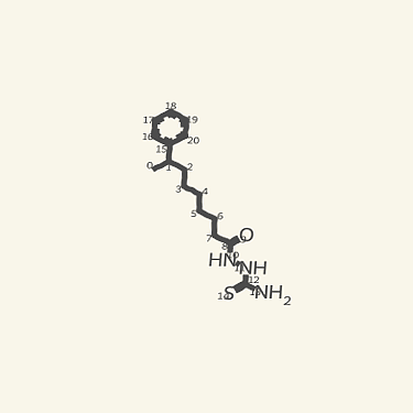 CC(CCCCCCC(=O)NNC(N)=S)c1ccccc1